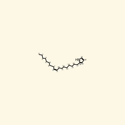 CCCCCCCC/C=C\CCCCCCCCc1ccc[nH]1